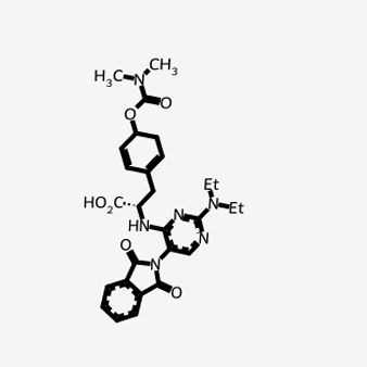 CCN(CC)c1ncc(N2C(=O)c3ccccc3C2=O)c(N[C@@H](CC2=CCC(OC(=O)N(C)C)C=C2)C(=O)O)n1